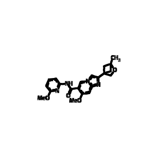 COc1cccc(NC(=O)c2cn3cc(C45COC(C)(C4)C5)nc3cc2OC)n1